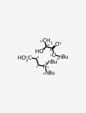 CCCCN(CCCC)CCC(=O)O.CCCCOC(=O)C(C)O